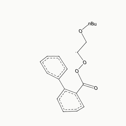 CCCCOC[CH]OOC(=O)c1ccccc1-c1ccccc1